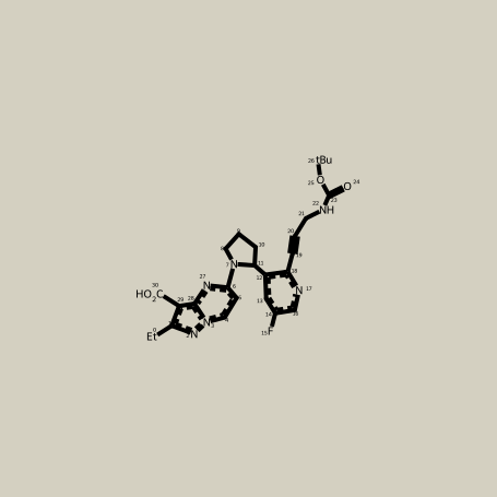 CCc1nn2ccc(N3CCCC3c3cc(F)cnc3C#CCNC(=O)OC(C)(C)C)nc2c1C(=O)O